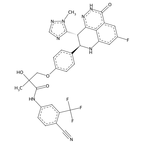 Cn1ncnc1[C@@H]1c2n[nH]c(=O)c3cc(F)cc(c23)N[C@H]1c1ccc(OCC(C)(O)C(=O)Nc2ccc(C#N)c(C(F)(F)F)c2)cc1